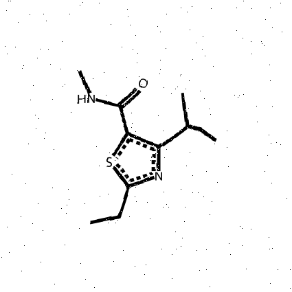 CCc1nc(C(C)C)c(C(=O)NC)s1